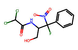 O=C(NC(CO)C(F)(c1ccccc1)[N+](=O)[O-])C(Cl)Cl